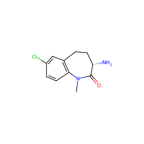 CN1C(=O)[C@@H](N)CCc2cc(Cl)ccc21